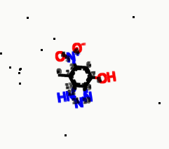 Cc1c([N+](=O)[O-])cc(O)c2nn[nH]c12